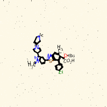 CC(=O)N1CC[C@@H](N2CCC(c3nn(C)c4ccc(-c5nc6cc(C)c([C@H](OC(C)(C)C)C(=O)O)c(-c7ccc(Cl)cc7)c6s5)cc34)CC2)C1